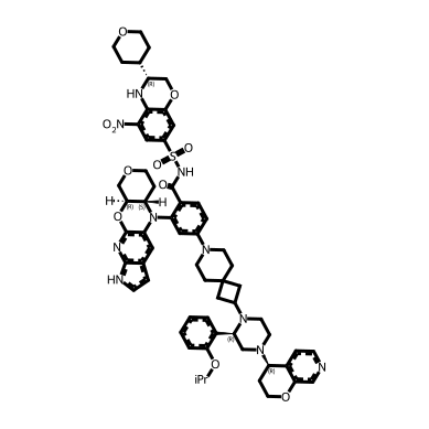 CC(C)Oc1ccccc1[C@@H]1CN([C@@H]2CCOc3cnccc32)CCN1C1CC2(CCN(c3ccc(C(=O)NS(=O)(=O)c4cc5c(c([N+](=O)[O-])c4)N[C@H](C4CCOCC4)CO5)c(N4c5cc6cc[nH]c6nc5O[C@H]5COCC[C@@H]54)c3)CC2)C1